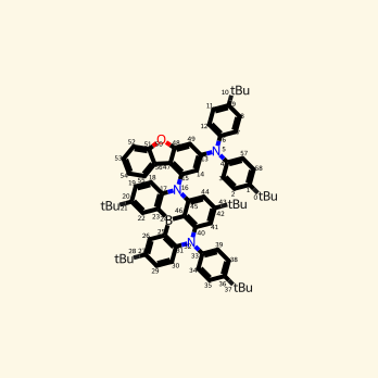 CC(C)(C)c1ccc(N(c2ccc(C(C)(C)C)cc2)c2cc(N3c4ccc(C(C)(C)C)cc4B4c5cc(C(C)(C)C)ccc5N(c5ccc(C(C)(C)C)cc5)c5cc(C(C)(C)C)cc3c54)c3c(c2)oc2ccccc23)cc1